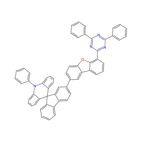 c1ccc(-c2nc(-c3ccccc3)nc(-c3cccc4c3oc3ccc(-c5ccc6c(c5)C5(c7ccccc7-6)c6ccccc6N(c6ccccc6)c6ccccc65)cc34)n2)cc1